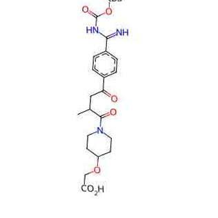 CC(CC(=O)c1ccc(C(=N)NC(=O)OC(C)(C)C)cc1)C(=O)N1CCC(OCC(=O)O)CC1